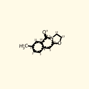 Cc1ccc2cc3n(c(=O)c2c1)CCO3